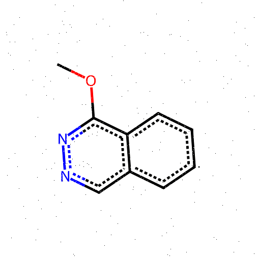 COc1nncc2c[c]ccc12